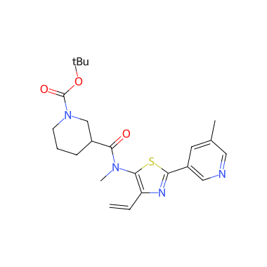 C=Cc1nc(-c2cncc(C)c2)sc1N(C)C(=O)C1CCCN(C(=O)OC(C)(C)C)C1